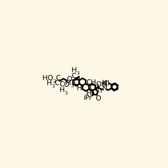 CC(C)C1=C2[C@H]3CC[C@@H]4[C@@]5(C)CC[C@H](OC(=O)CC(C)(C)C(=O)O)C6(C)C[C@]65CC[C@@]4(C)[C@]3(C)CCC2(C(O)CNCc2ccccc2Cl)CC1=O